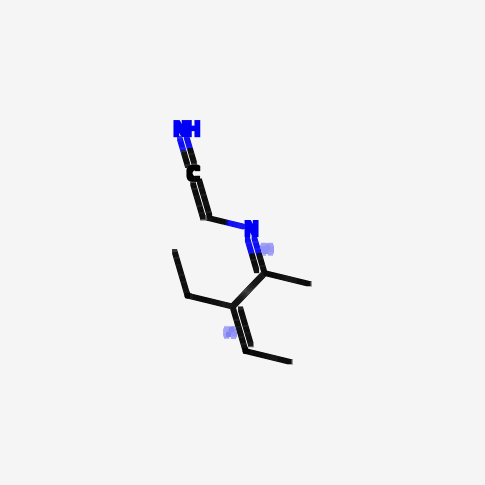 C/C=C(CC)\C(C)=N/C=C=N